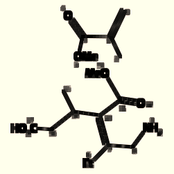 C=C(C)C(=O)OC.CCC(CN)=C(C(=O)OC)C(C)CC(=O)O